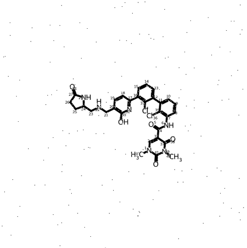 Cn1cc(C(=O)Nc2cccc(-c3cccc(-c4ccc(CNCC5CCC(=O)N5)c(O)n4)c3Cl)c2Cl)c(=O)n(C)c1=O